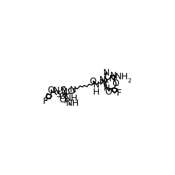 CN[C@@H](C)C(=O)N[C@H](C(=O)N1CCC[C@H]1C1=NC(C(=O)c2ccc(F)cc2)CS1)C1CCN(CCCCCCCCC(=O)NCCn2nc(C#N)c3c2CN(C)C(=O)c2ccc(F)cc2[C@@H](C)Oc2nc-3cnc2N)CC1